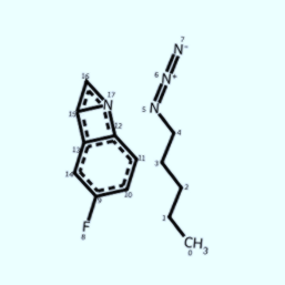 CCCCCN=[N+]=[N-].Fc1ccc2c(c1)c1cn2-1